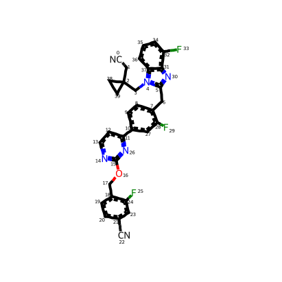 N#CCC1(Cn2c(Cc3ccc(-c4ccnc(OCc5ccc(C#N)cc5F)n4)cc3F)nc3c(F)cccc32)CC1